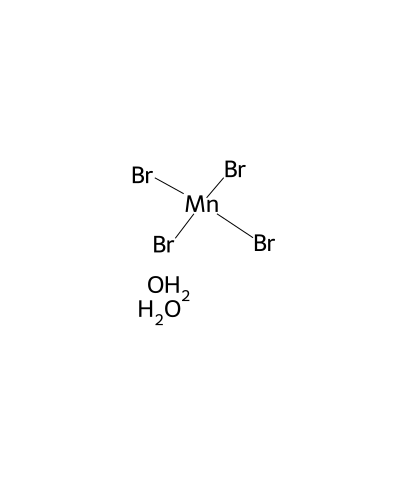 O.O.[Br][Mn]([Br])([Br])[Br]